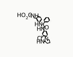 N=C1CCCN1c1ccc(NC(=O)C(Nc2cccc(CNC(=O)O)c2)c2ccccc2)cc1Cl